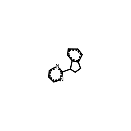 c1cnc(C2CCc3ccccc32)nc1